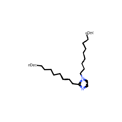 CCCCCCCCCCCCCCCCCCc1nccn1CCCCCCCCCCCCCCCCCC